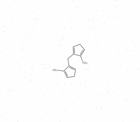 CCCCC1=[C]CC=C1CC1=CC[C]=C1CCCC